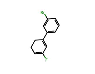 FC1=CC[CH]C(c2cccc(Br)c2)=C1